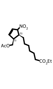 CCOC(=O)CCCCCC[C@@H]1C([N+](=O)[O-])C=C[C@@H]1COC(C)=O